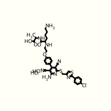 CC(NC(=O)C(CCCCN)NCCOc1ccc(-c2c(C#N)c(N)nc(SCc3csc(-c4ccc(Cl)cc4)n3)c2C#N)cc1)C(=O)O.Cl.Cl